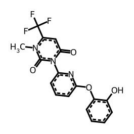 Cn1c(C(F)(F)F)cc(=O)n(-c2cccc(Oc3ccccc3O)n2)c1=O